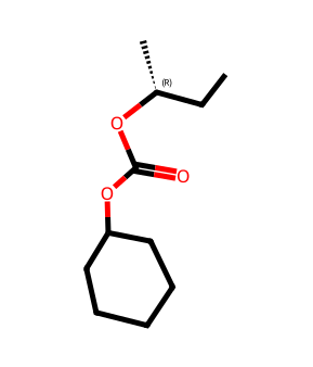 CC[C@@H](C)OC(=O)OC1CCCCC1